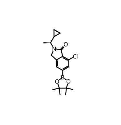 C[C@@H](C1CC1)N1Cc2cc(B3OC(C)(C)C(C)(C)O3)cc(Cl)c2C1=O